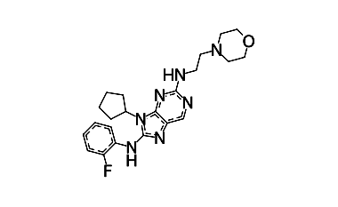 Fc1ccccc1Nc1nc2cnc(NCCN3CCOCC3)nc2n1C1CCCC1